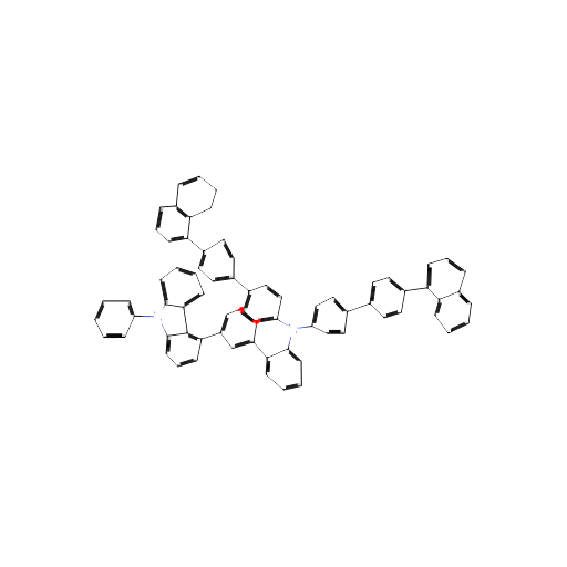 C1=Cc2cccc(-c3ccc(-c4ccc(N(c5ccc(-c6ccc(-c7cccc8ccccc78)cc6)cc5)c5ccccc5-c5cccc(-c6cccc7c6c6ccccc6n7-c6ccccc6)c5)cc4)cc3)c2CC1